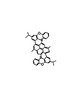 Cc1cc2c3c(cc4c(C)cc5c6c(cc1c3c46)B1c3ccccc3Oc3cc(C(C)C)cc-5c31)B1c3ccccc3Oc3cc(C(C)C)cc-2c31